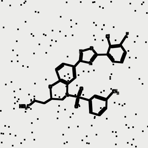 O=C(O)CCC1CN(S(=O)(=O)c2cccc(C(F)(F)F)c2)c2cc(-c3noc(-c4cccc(F)c4Cl)n3)ccc2O1